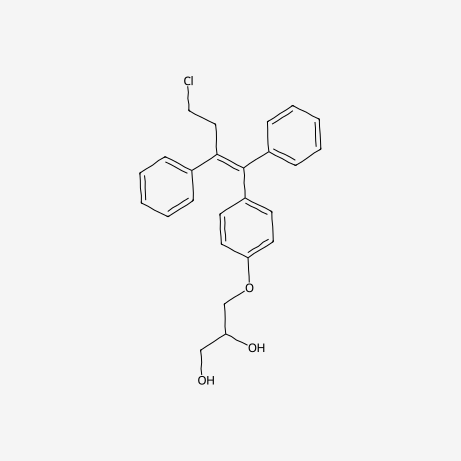 OCC(O)COc1ccc(C(=C(CCCl)c2ccccc2)c2ccccc2)cc1